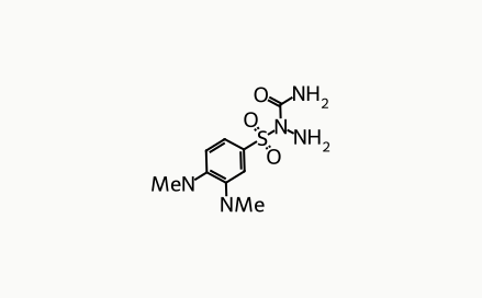 CNc1ccc(S(=O)(=O)N(N)C(N)=O)cc1NC